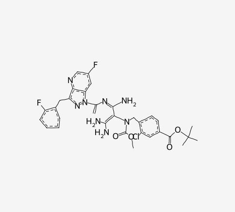 C=C(/N=C(/N)C(=C(N)N)N(Cc1ccc(C(=O)OC(C)(C)C)cc1Cl)C(=O)OC)n1nc(Cc2ccccc2F)c2ncc(F)cc21